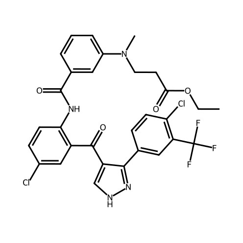 CCOC(=O)CCN(C)c1cccc(C(=O)Nc2ccc(Cl)cc2C(=O)c2c[nH]nc2-c2ccc(Cl)c(C(F)(F)F)c2)c1